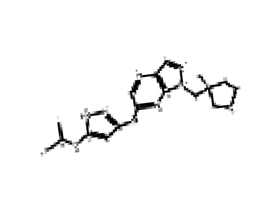 C[C@@]1(Cn2ncc3ncc(Nc4cc(OC(F)F)[nH]n4)nc32)CCOC1